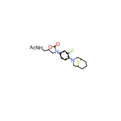 CC(=O)NCC1CN(c2ccc(N3CC4CCCC(C3)S4)c(F)c2)C(=O)O1